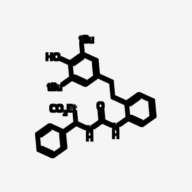 CCOC(=O)C(NC(=O)Nc1ccccc1CCc1cc(C(C)(C)C)c(O)c(C(C)(C)C)c1)c1ccccc1